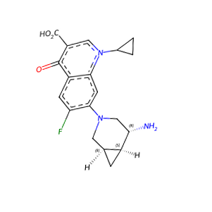 N[C@H]1CN(c2cc3c(cc2F)c(=O)c(C(=O)O)cn3C2CC2)C[C@@H]2C[C@@H]21